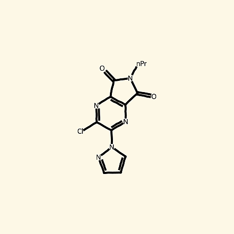 CCCN1C(=O)c2nc(Cl)c(-n3cccn3)nc2C1=O